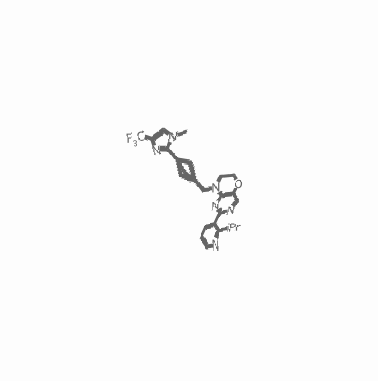 CC(C)c1ncccc1-c1ncc2c(n1)N(CC13CC(c4nc(C(F)(F)F)cn4C)(C1)C3)CCO2